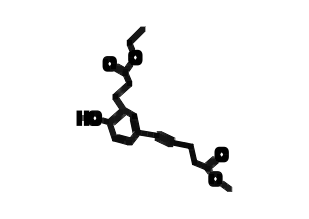 CCOC(=O)CCc1cc(C#CCCC(=O)OC)ccc1O